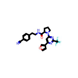 N#Cc1ccc(CCNC(=O)C2CCCN2c2cc(-c3ccoc3)nc(C(F)(F)F)n2)cc1